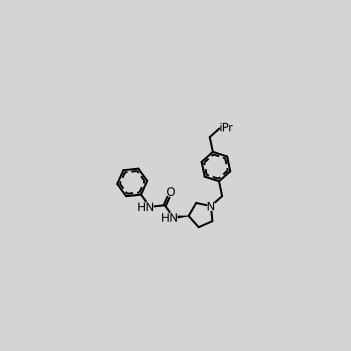 CC(C)Cc1ccc(CN2CC[C@@H](NC(=O)Nc3ccccc3)C2)cc1